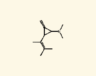 C=C1C(C(C)=C(C)C)C1N(C)C